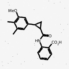 COc1cc(C2CC2C(=O)Nc2ccccc2C(=O)O)cc(C)c1C